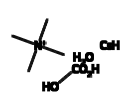 C[N+](C)(C)C.O.O=C(O)O.[CsH]